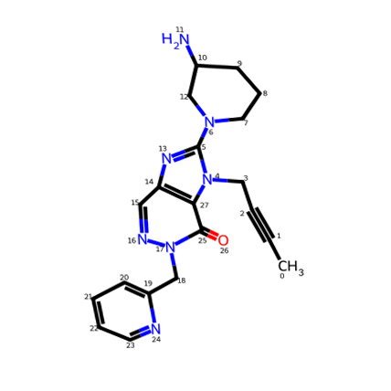 CC#CCn1c(N2CCCC(N)C2)nc2cnn(Cc3ccccn3)c(=O)c21